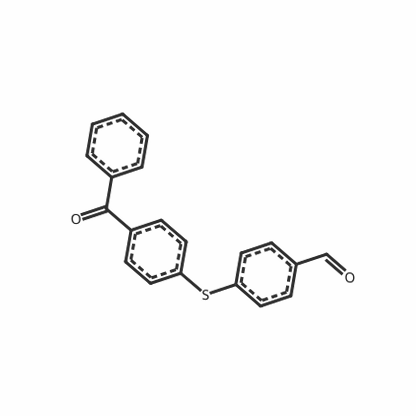 O=Cc1ccc(Sc2ccc(C(=O)c3ccccc3)cc2)cc1